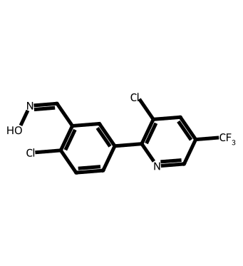 O/N=C\c1cc(-c2ncc(C(F)(F)F)cc2Cl)ccc1Cl